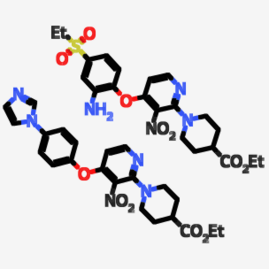 CCOC(=O)C1CCN(c2nccc(Oc3ccc(-n4ccnc4)cc3)c2[N+](=O)[O-])CC1.CCOC(=O)C1CCN(c2nccc(Oc3ccc(S(=O)(=O)CC)cc3N)c2[N+](=O)[O-])CC1